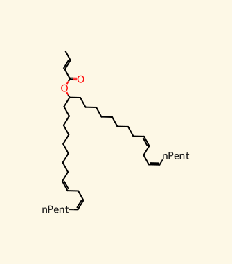 C/C=C/C(=O)OC(CCCCCCCC/C=C\C/C=C\CCCCC)CCCCCCCC/C=C\C/C=C\CCCCC